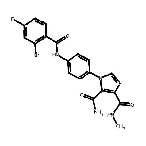 CNC(=O)c1ncn(-c2ccc(NC(=O)c3ccc(F)cc3Br)cc2)c1C(N)=O